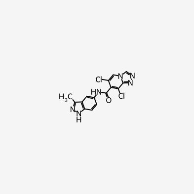 Cc1n[nH]c2ccc(NC(=O)c3c(Cl)cn4cnnc4c3Cl)cc12